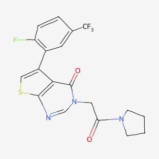 O=C(Cn1cnc2scc(-c3cc(C(F)(F)F)ccc3F)c2c1=O)N1CCCC1